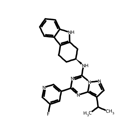 CC(C)c1cnn2c(N[C@H]3CCc4c([nH]c5ccccc45)C3)nc(-c3cncc(F)c3)nc12